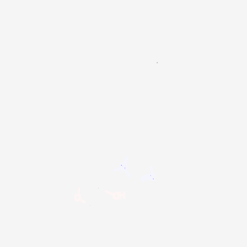 OC1(Cn2cnc3ccc(-c4cc(C(F)(F)F)ccc4Cl)cc32)COC1